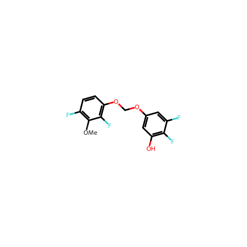 COc1c(F)ccc(OCOc2cc(O)c(F)c(F)c2)c1F